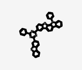 c1ccc(-c2nc(-c3ccc4c(c3)sc3ccccc34)nc(-c3ccc4oc5c(ccc6c7ccccc7n(-c7ccccc7)c65)c4c3)n2)cc1